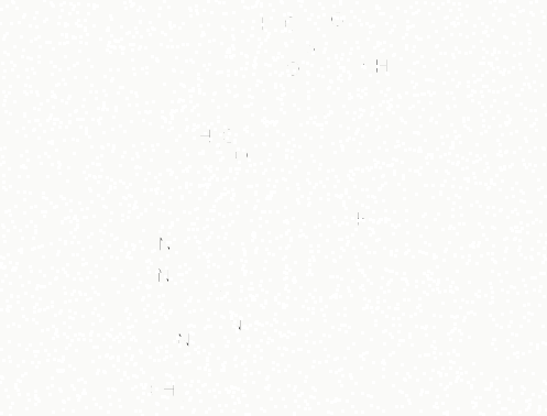 CCn1cnc2c(-c3ccc(F)c(-c4ccc(C(C)S(C)(=O)=O)cc4OC)c3)cnnc21